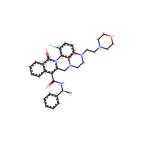 CC[C@H](NC(=O)c1c(CN2CCN(CCN3CCOCC3)CC2)n(-c2ccccc2F)c(=O)c2ccccc12)c1ccccc1